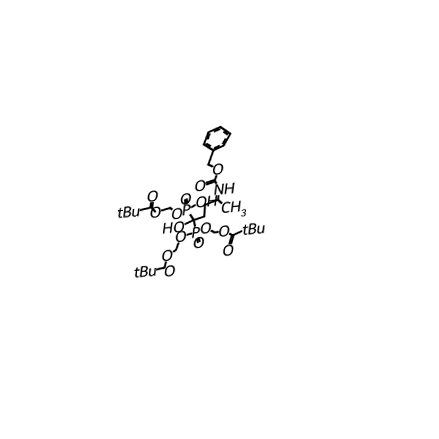 CC(CCC(O)(P(=O)(O)OCOC(=O)C(C)(C)C)P(=O)(OCOC(=O)C(C)(C)C)OCOC(=O)C(C)(C)C)NC(=O)OCc1ccccc1